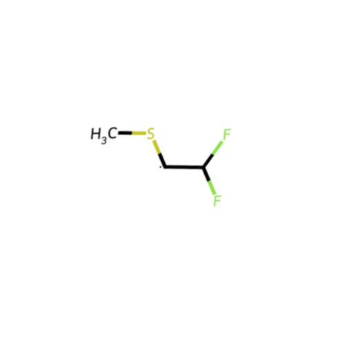 CS[CH]C(F)F